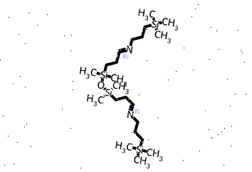 C[Si](C)(C)CCC/N=C/CC[Si](C)(C)O[Si](C)(C)CC/C=N/CCC[Si](C)(C)C